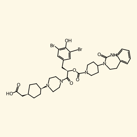 O=C(O)C[C@H]1CC[C@@H](N2CCN(C(=O)[C@@H](Cc3cc(Br)c(O)c(Br)c3)OC(=O)N3CCC(N4CCc5ccccc5NC4=O)CC3)CC2)CC1